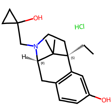 CC[C@]12CCN(CC3(O)CC3)[C@H](Cc3ccc(O)cc31)C2(C)C.Cl